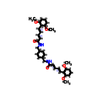 COc1cccc(OC)c1/C=C/C=C/C(=O)NCc1ccc(CNC(=O)/C=C/C=C/c2c(OC)cccc2OC)cc1